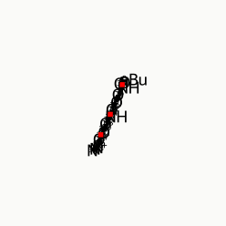 CCCCOC(=O)NCCOCCOCCOCCNCCOCCOCCOCCN=[N+]=[N-]